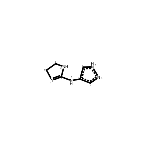 c1n[nH]cc1NC1=NCCN1